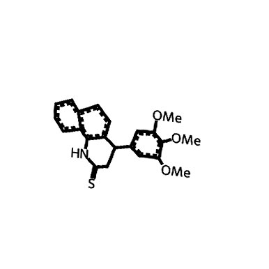 COc1cc(C2CC(=S)Nc3c2ccc2ccccc32)cc(OC)c1OC